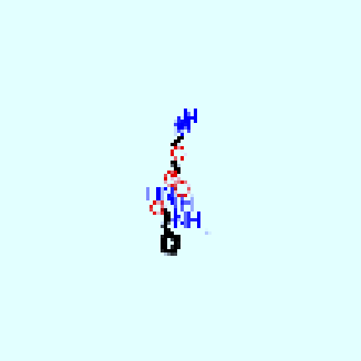 [N-]=[N+]=NCCOCCOC(=O)NNC(=O)[C@@H](N)Cc1ccccc1